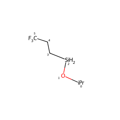 CC(C)O[SiH2]CCC(F)(F)F